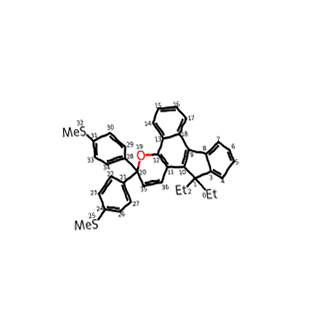 CCC1(CC)c2ccccc2-c2c1c1c(c3ccccc23)OC(c2ccc(SC)cc2)(c2ccc(SC)cc2)C=C1